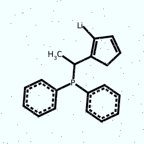 [Li][C]1=C(C(C)P(c2ccccc2)c2ccccc2)CC=C1